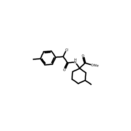 COC(=O)C1(NC(=O)C(Cl)c2ccc(C)cc2)CCCC(C)C1